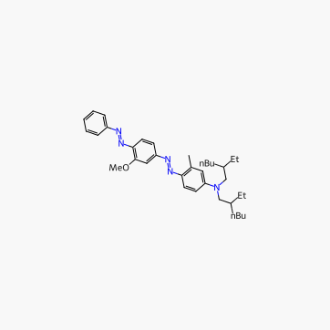 CCCCC(CC)CN(CC(CC)CCCC)c1ccc(N=Nc2ccc(N=Nc3ccccc3)c(OC)c2)c(C)c1